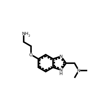 CN(C)Cc1nc2cc(OCCN)ccc2[nH]1